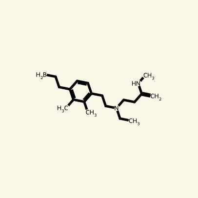 BCCc1ccc(CCN(CC)CCC(=C)NC)c(C)c1C